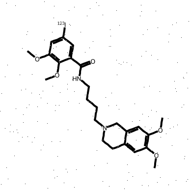 COc1cc2c(cc1OC)CN(CCCCNC(=O)c1cc([123I])cc(OC)c1OC)CC2